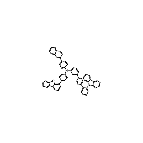 c1cc(-c2ccc(-c3ccccc3-n3c4ccccc4c4ccccc43)cc2)cc(N(c2ccc(-c3ccc4ccccc4c3)cc2)c2ccc(-c3cccc4c3oc3ccccc34)cc2)c1